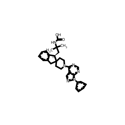 CC(C)(C[C@@H]1c2ccccc2CC12CCN(c1ncnc3c1cnn3-c1ccccc1)CC2)NC(=O)O